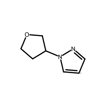 [c]1cnn(C2CCOC2)c1